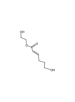 O=C(C=CCCCO)OCCO